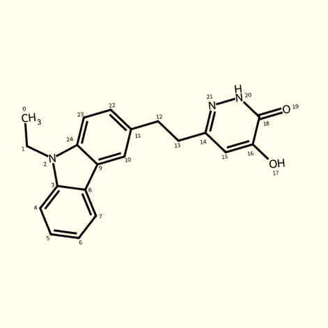 CCn1c2ccccc2c2cc(CCc3cc(O)c(=O)[nH]n3)ccc21